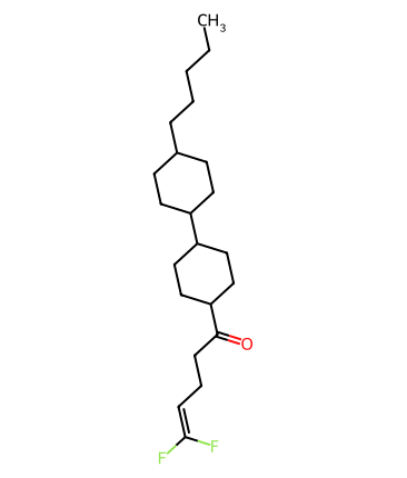 CCCCCC1CCC(C2CCC(C(=O)CCC=C(F)F)CC2)CC1